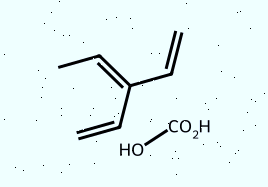 C=CC(C=C)=CC.O=C(O)O